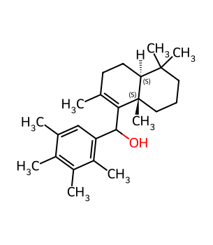 CC1=C(C(O)c2cc(C)c(C)c(C)c2C)[C@@]2(C)CCCC(C)(C)[C@@H]2CC1